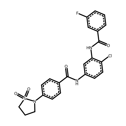 O=C(Nc1ccc(Cl)c(NC(=O)c2cccc(F)c2)c1)c1ccc(N2CCCS2(=O)=O)cc1